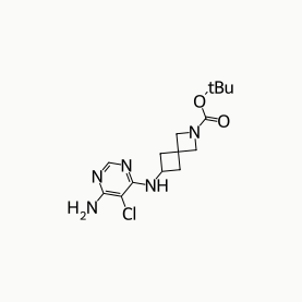 CC(C)(C)OC(=O)N1CC2(CC(Nc3ncnc(N)c3Cl)C2)C1